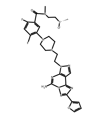 CN(CC[S@+](C)[O-])C(=O)c1cc(N2CCN(CCn3ncc4c3nc(N)n3nc(-c5ccco5)nc43)CC2)c(F)cc1F